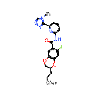 COCCC1COc2cc(C(=O)Nc3cccc(-c4nncn4C(C)C)n3)c(F)cc2O1